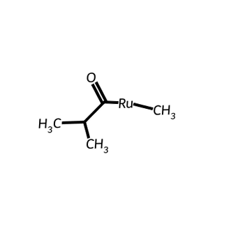 [CH3][Ru][C](=O)C(C)C